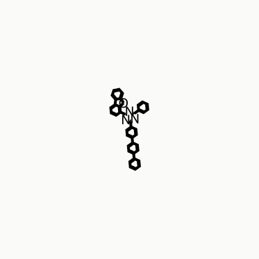 c1ccc(-c2ccc(-c3ccc(-c4nc(-c5ccccc5)nc(-c5cccc6c5oc5ccccc56)n4)cc3)cc2)cc1